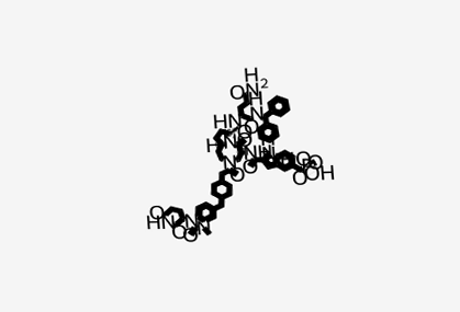 Cn1c(=O)n(C2CCC(=O)NC2=O)c2ccc(CC3CCC(CC(=O)N4CC[C@H]5CC[C@@H](C(=O)NC(CCC(N)=O)C(=O)NC(c6ccccc6)c6ccccc6)N5C(=O)[C@@H](NC(=O)c5cc6cc(C(=O)P(=O)(O)O)ccc6[nH]5)C4)CC3)cc21